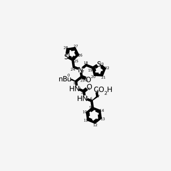 CCCC[C@H](NC(=O)N[C@@H](CC(=O)O)c1ccccc1)C(=O)N(Cc1cccs1)Cc1cccs1